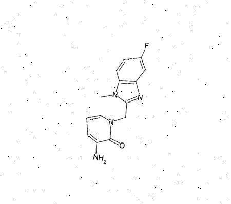 Cn1c(Cn2cccc(N)c2=O)nc2cc(F)ccc21